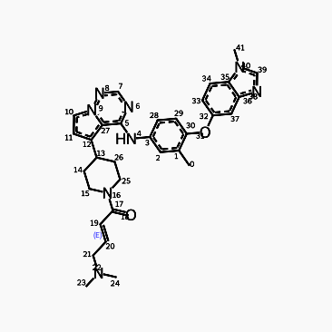 Cc1cc(Nc2ncnn3ccc(C4CCN(C(=O)/C=C/CN(C)C)CC4)c23)ccc1Oc1ccc2c(c1)ncn2C